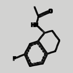 CC(=O)NC1CCCc2ccc(F)cc21